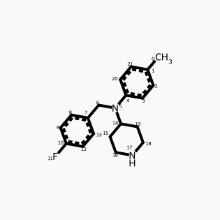 Cc1ccc(N(Cc2ccc(F)cc2)C2CCNCC2)cc1